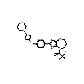 O=C(N1CCCCc2nc(-c3ccc(O[C@H]4C[C@H](N5CCCCC5)C4)cc3)oc21)C(F)(F)F